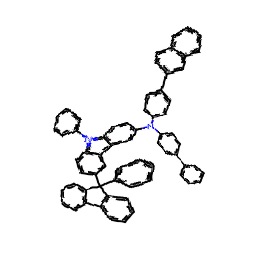 c1ccc(-c2ccc(N(c3ccc(-c4ccc5ccccc5c4)cc3)c3ccc4c(c3)c3cc(C5(c6ccccc6)c6ccccc6-c6ccccc65)ccc3n4-c3ccccc3)cc2)cc1